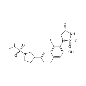 CC(C)S(=O)(=O)N1CCC(c2ccc3cc(O)c(N4CC(=O)NS4(=O)=O)c(F)c3c2)C1